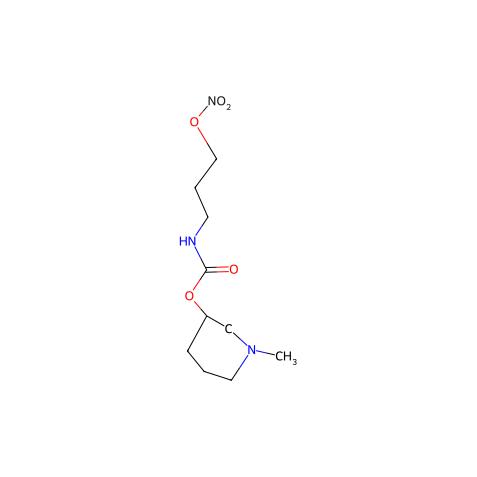 CN1CCCC(OC(=O)NCCCO[N+](=O)[O-])C1